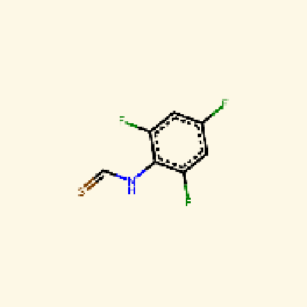 Fc1cc(F)c(NC=S)c(F)c1